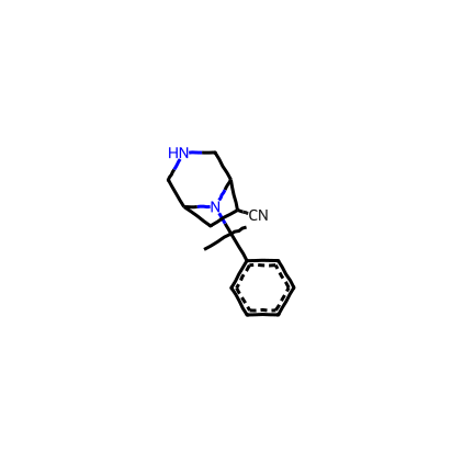 CC(C)(c1ccccc1)N1C2CNCC1C(C#N)C2